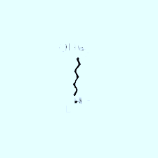 CCN(CC)CCCCCCCO[C]=O